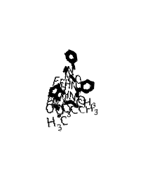 CCOC(=O)[C@@H]1[C@H]2CCC(F)(F)[C@H]2CN1C(=O)C(NC(=O)[C@@H](NC(=O)c1nccn1Cc1ccccc1)C1CCCCC1)C(C)(C)C